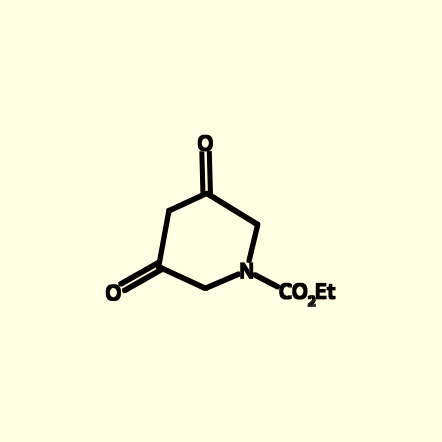 CCOC(=O)N1CC(=O)CC(=O)C1